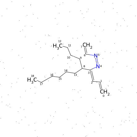 C=C/C=C(\N=N/C=C)C(CCCC)CCCCCC